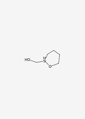 OC[SiH]1CCCCO1